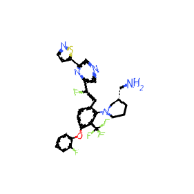 NC[C@@H]1CCCN(c2c(/C=C(\F)c3cncc(-c4ccns4)n3)ccc(Oc3ccccc3F)c2C(F)(F)F)C1